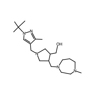 Cc1nn(C(C)(C)C)cc1CN1CC(CO)C(CN2CCCN(C)CC2)C1